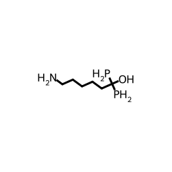 NCCCCCC(O)(P)P